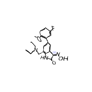 CCN(CC)Cc1cc(-c2cc(F)ccc2OC)cc2c1NC(=O)/C2=N\O